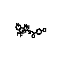 Cn1c(SCC(=O)c2ccc(Cl)cc2)nnc1-c1cnccc1C(F)(F)F